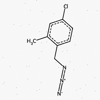 Cc1cc(Cl)ccc1CN=[N+]=[N-]